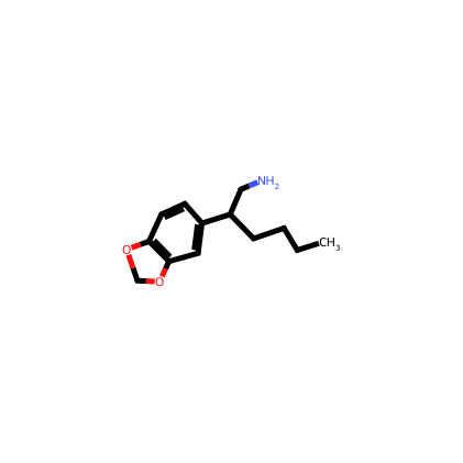 CCCCC(CN)c1ccc2c(c1)OCO2